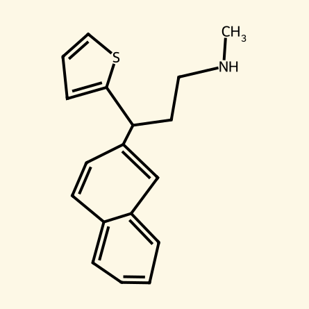 CNCCC(c1ccc2ccccc2c1)c1cccs1